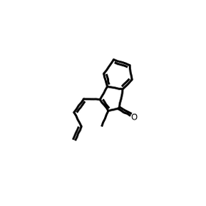 C=C/C=C\C1=C(C)C(=O)c2ccccc21